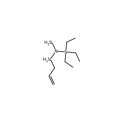 C=CC[SiH2]N([SiH3])[Si](CC)(CC)CC